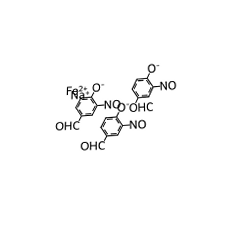 O=Cc1ccc([O-])c(N=O)c1.O=Cc1ccc([O-])c(N=O)c1.O=Cc1ccc([O-])c(N=O)c1.[Fe+2].[Na+]